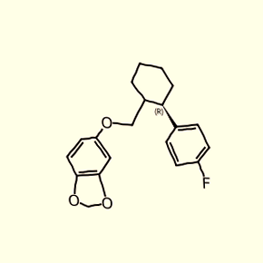 Fc1ccc([C@@H]2CCCCC2COc2ccc3c(c2)OCO3)cc1